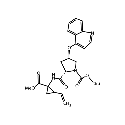 C=CC1CC1(NC(=O)[C@@H]1C[C@@H](Oc2ccnc3ccccc23)CN1C(=O)OC(C)(C)C)C(=O)OC